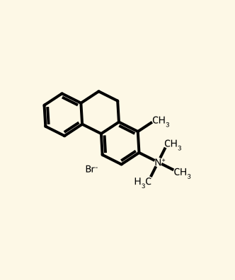 Cc1c([N+](C)(C)C)ccc2c1CCc1ccccc1-2.[Br-]